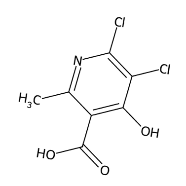 Cc1nc(Cl)c(Cl)c(O)c1C(=O)O